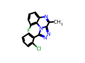 Cc1nc2cccc(F)c2n2c(-c3ccccc3Cl)nnc12